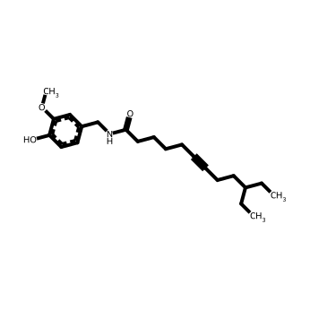 CCC(CC)CCC#CCCCCC(=O)NCc1ccc(O)c(OC)c1